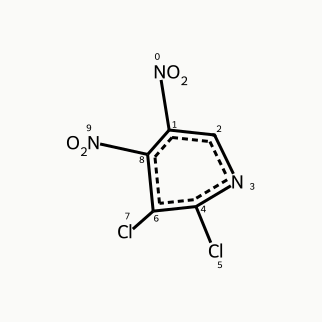 O=[N+]([O-])c1cnc(Cl)c(Cl)c1[N+](=O)[O-]